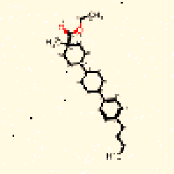 CCCCc1ccc(C2CCC(C3CCC(C)(C(=O)OCC)CC3)CC2)cc1